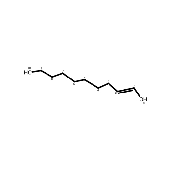 OC=CCCCCCCCO